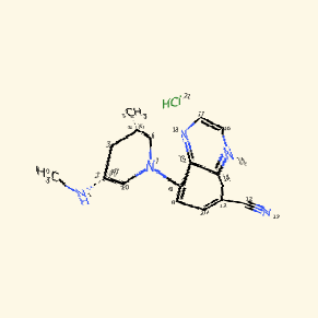 CN[C@@H]1C[C@H](C)CN(c2ccc(C#N)c3nccnc23)C1.Cl